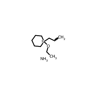 C=CC[Si]1(OCC)CCCCC1.N